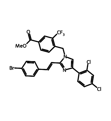 COC(=O)c1ccc(Cn2cc(-c3ccc(Cl)cc3Cl)nc2C=Cc2ccc(Br)cc2)c(C(F)(F)F)c1